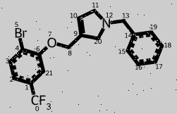 FC(F)(F)c1ccc(Br)c(OCC2=CCN(Cc3ccccc3)C2)c1